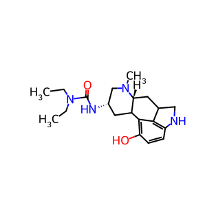 CCN(CC)C(=O)N[C@H]1CC2c3c(O)ccc4c3C(CN4)C[C@H]2N(C)C1